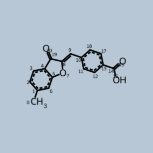 Cc1ccc2c(c1)O/C(=C\c1ccc(C(=O)O)cc1)C2=O